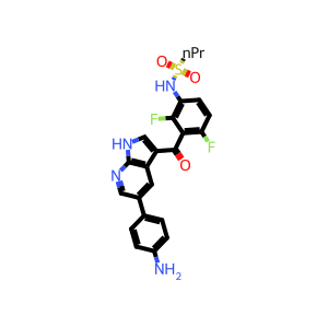 CCCS(=O)(=O)Nc1ccc(F)c(C(=O)c2c[nH]c3ncc(-c4ccc(N)cc4)cc23)c1F